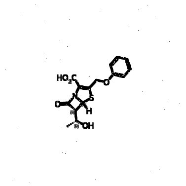 C[C@@H](O)[C@H]1C(=O)N2C(C(=O)O)=C(COc3ccccc3)S[C@H]12